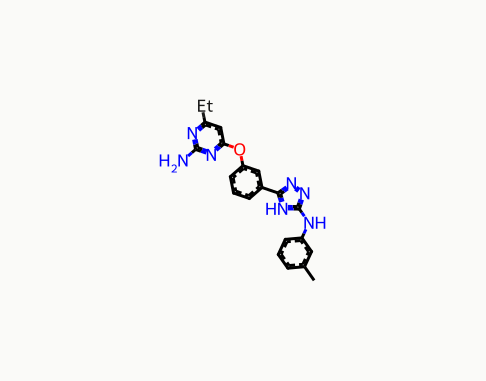 CCc1cc(Oc2cccc(-c3nnc(Nc4cccc(C)c4)[nH]3)c2)nc(N)n1